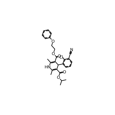 CC1=C(C(=O)OCCOc2ccccc2)C(c2cccc(C#N)c2Cl)C(C(=O)OC(C)C)=C(C)N1